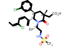 C=C(/C=C\C(Cl)=C/C)[C@@H]1[C@@H](c2cccc(Cl)c2)C[C@](C)(CC(=O)O)C(=O)N1[C@@H](CC)CNS(=O)(=O)C(F)(F)F